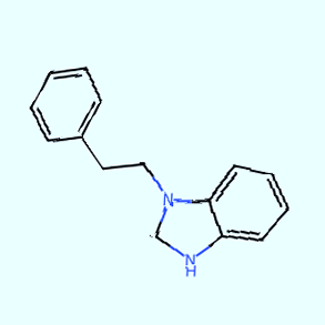 [CH]1Nc2ccccc2N1CCc1ccccc1